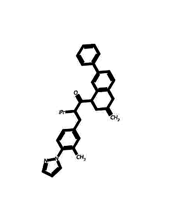 C=C1Cc2ccc(-c3ccccc3)cc2C(C(=O)C(Cc2ccc(-n3cccn3)c(C)c2)C(C)C)C1